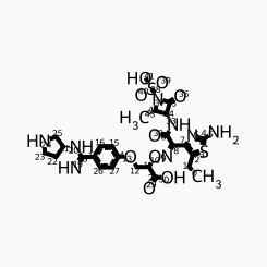 CCc1sc(N)nc1/C(=N/OC(COc1ccc(C(=N)N[C@@H]2CCNC2)cc1)C(=O)O)C(=O)N[C@@H]1C(=O)N(S(=O)(=O)O)[C@H]1C